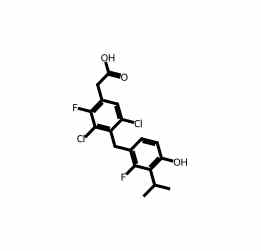 CC(C)c1c(O)ccc(Cc2c(Cl)cc(CC(=O)O)c(F)c2Cl)c1F